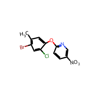 Cc1cc(Oc2ccc([N+](=O)[O-])cn2)c(Cl)cc1Br